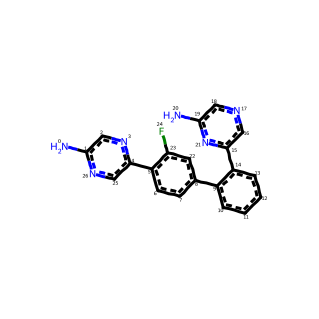 Nc1cnc(-c2ccc(-c3ccccc3-c3cncc(N)n3)cc2F)cn1